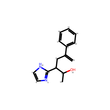 C=C(CC(c1ncc[nH]1)C(C)O)c1ccccc1